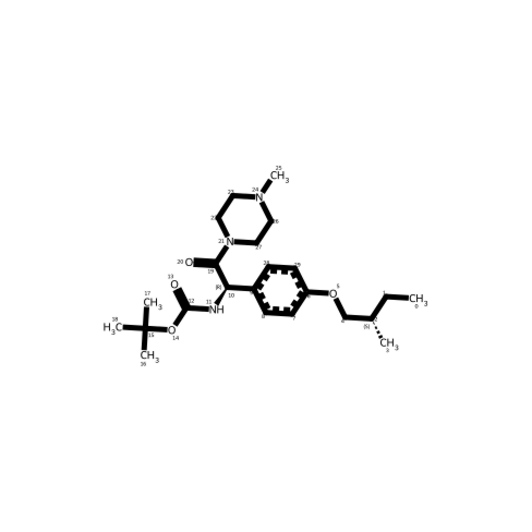 CC[C@H](C)COc1ccc([C@@H](NC(=O)OC(C)(C)C)C(=O)N2CCN(C)CC2)cc1